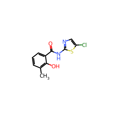 Cc1cccc(C(=O)Nc2ncc(Cl)s2)c1O